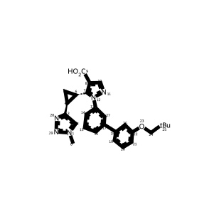 Cn1cc([C@H]2C[C@@H]2c2c(C(=O)O)cnn2-c2cccc(-c3cccc(OCC(C)(C)C)c3)c2)nn1